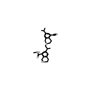 CNC(=O)c1cc(C(C)CN2CCc3c(C#N)cc(C(C)C)cc3C2)cc2c1CNCC2